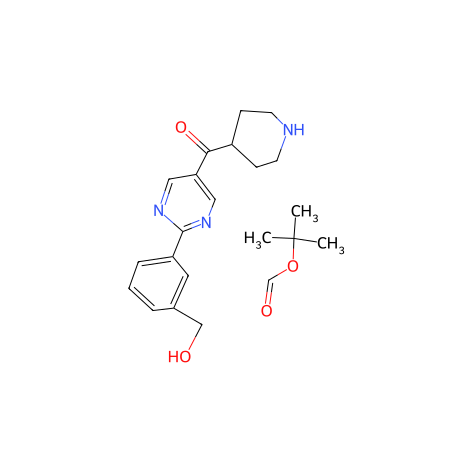 CC(C)(C)OC=O.O=C(c1cnc(-c2cccc(CO)c2)nc1)C1CCNCC1